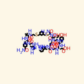 CCC[C@H](NC(=O)[C@H](Cc1ccc(O)cc1)NC(=O)[C@H](CCC(=O)O)NC(=O)CNC(=O)[C@H](Cc1c[nH]c2ncccc12)NC(=O)C[C@@H](C)O)C(=O)N[C@H](C(=O)N[C@@H](CSCc1cccc(CSCCC(=O)N[C@H](C(=O)N[C@@H](Cc2ccc(C(N)=O)cc2)C(=O)N[C@@H](Cc2cnc[nH]2)C(N)=O)C(C)(C)C)c1)C(N)=O)[C@@H](C)O